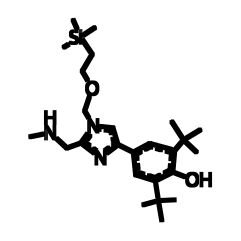 CNCc1nc(-c2cc(C(C)(C)C)c(O)c(C(C)(C)C)c2)cn1COCC[Si](C)(C)C